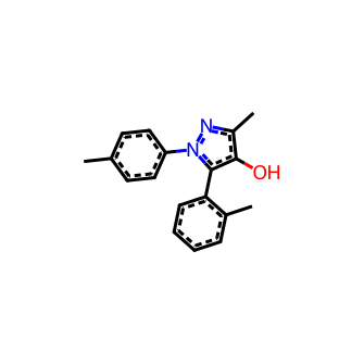 Cc1ccc(-n2nc(C)c(O)c2-c2ccccc2C)cc1